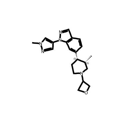 C[C@@H]1CN(C2COC2)CC[C@@H]1c1ccc2cnn(-c3cnn(C)c3)c2c1